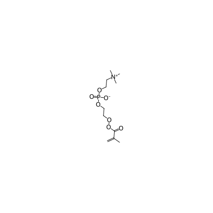 C=C(C)C(=O)OOCCOP(=O)([O-])OCC[N+](C)(C)C